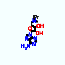 CC(C)N(C)C[C@H]1O[C@@H](n2cnc3c(N)ncnc32)[C@H](O)[C@@H]1O